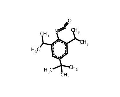 CC(C)c1cc(C(C)(C)C)cc(C(C)C)c1N=C=O